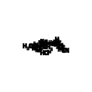 Cc1ccc2c(-c3nnc(SCCCN4C[C@@H]5C[C@]5(c5ccc(C#N)cc5)C4)n3C)cccc2n1.Cl